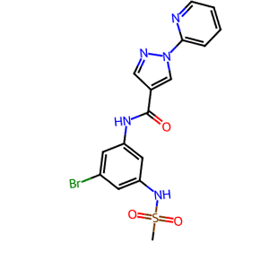 CS(=O)(=O)Nc1cc(Br)cc(NC(=O)c2cnn(-c3ccccn3)c2)c1